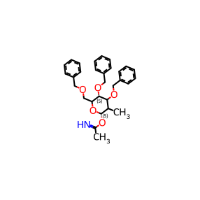 CC(=N)O[C@@H]1OC(COCc2ccccc2)[C@@H](OCc2ccccc2)C(OCc2ccccc2)C1C